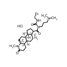 CCSNC(=O)N(CCCN(C)C)C(=O)C1CC[C@H]2[C@@H]3CCC4N(C)C(=O)CC[C@]4(C)[C@@H]3CC[C@]12C.Cl